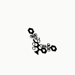 CCN(CC1OC(=O)C(C(c2cccc(NS(=O)(=O)c3ccccc3)c2)C2CC2)=C(O)C1=O)S(=O)(=O)c1ccccc1